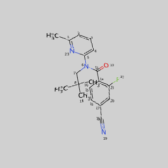 Cc1cccc(N(CC(C)(C)C)C(=O)c2ccc(C#N)cc2F)n1